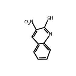 O=[N+]([O-])c1cc2ccccc2nc1S